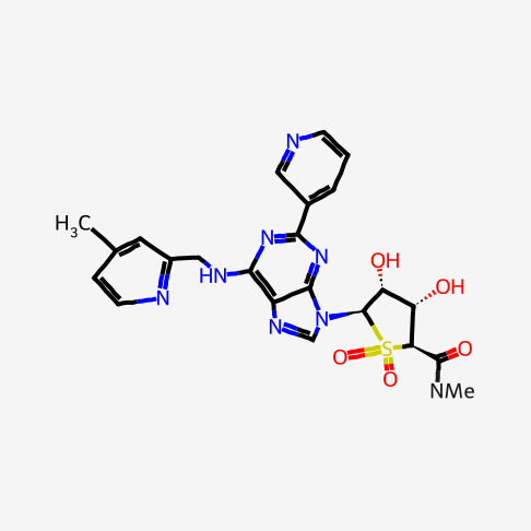 CNC(=O)[C@@H]1[C@@H](O)[C@@H](O)[C@H](n2cnc3c(NCc4cc(C)ccn4)nc(-c4cccnc4)nc32)S1(=O)=O